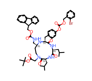 CC(C)C[C@@H]1NC(=O)[C@H](Cc2ccc(OC(=O)OCc3ccccc3Br)cc2)N[C@H](CNC(=O)OCC2c3ccccc3-c3ccccc32)CCN(CC(=O)OC(C)(C)C)C(=O)[C@H](CC(C)C)NC1=O